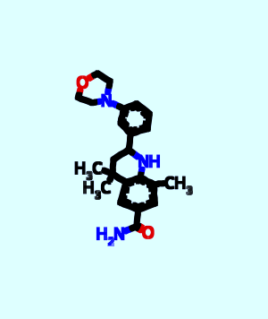 Cc1cc(C(N)=O)cc2c1NC(c1cccc(N3CCOCC3)c1)CC2(C)C